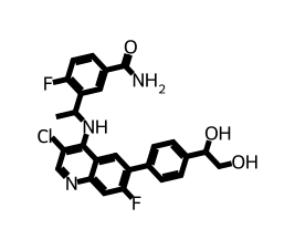 CC(Nc1c(Cl)cnc2cc(F)c(-c3ccc(C(O)CO)cc3)cc12)c1cc(C(N)=O)ccc1F